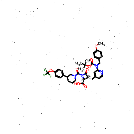 COc1ccc(CN(C(=O)OC(C)(C)C)c2cc(C[C@H]3C(=O)N(C(=O)N4CCCC(c5ccc(OC(F)(F)F)cc5)C4)[C@@H]3C(=O)O)ccn2)cc1